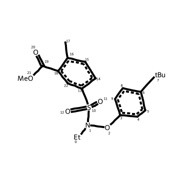 CCN(Oc1ccc(C(C)(C)C)cc1)S(=O)(=O)c1ccc(C)c(C(=O)OC)c1